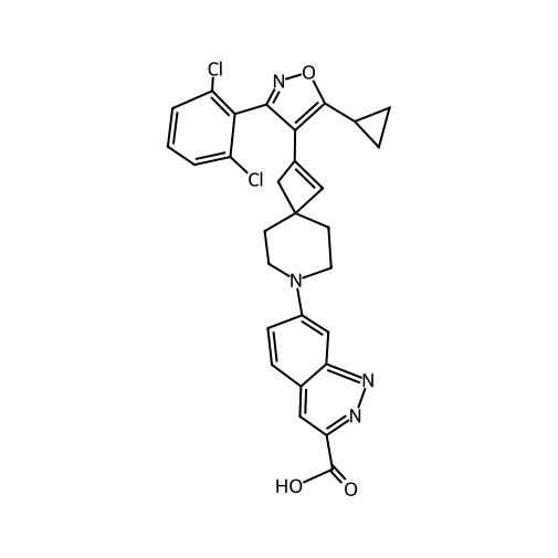 O=C(O)c1cc2ccc(N3CCC4(C=C(c5c(-c6c(Cl)cccc6Cl)noc5C5CC5)C4)CC3)cc2nn1